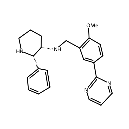 COc1ccc(-c2ncccn2)cc1CN[C@H]1CCCN[C@H]1c1ccccc1